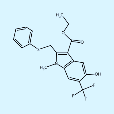 CCOC(=O)c1c(CSc2ccccc2)n(C)c2cc(C(F)(F)F)c(O)cc12